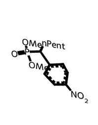 CCCCCC(c1ccc([N+](=O)[O-])cc1)P(=O)(OC)OC